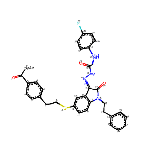 COC(=O)c1ccc(CCSc2ccc3c(c2)/C(=N/NC(=O)Nc2ccc(F)cc2)C(=O)N3CCc2ccccc2)cc1